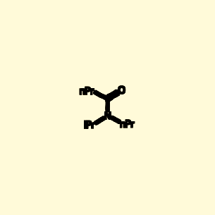 CCCC(=O)N(CCC)C(C)C